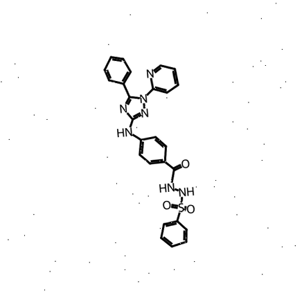 O=C(NNS(=O)(=O)c1ccccc1)c1ccc(Nc2nc(-c3ccccc3)n(-c3ccccn3)n2)cc1